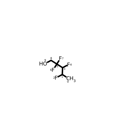 CC(F)C(F)C(F)(F)CO